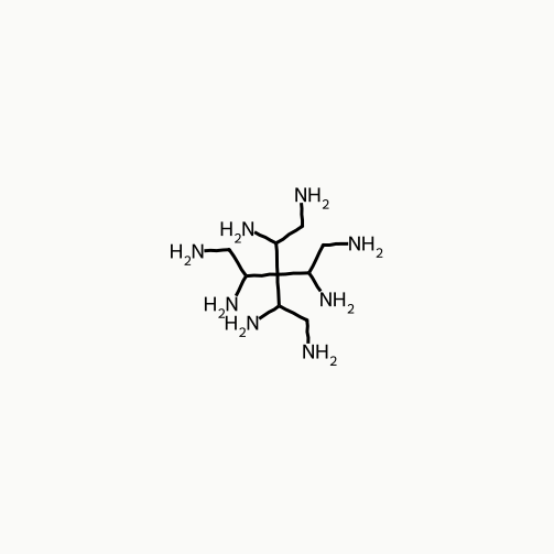 NCC(N)C(C(N)CN)(C(N)CN)C(N)CN